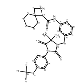 CC1(C)C(=O)N(c2ccc(SC(F)(F)F)cc2)C(=O)N1Cc1ccnc(NC(=O)C2NCC23CCCCC3)c1